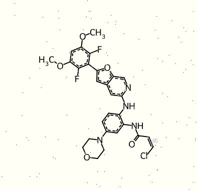 COc1cc(OC)c(F)c(-c2cc3cc(Nc4ccc(N5CCOCC5)cc4NC(=O)/C=C\Cl)ncc3o2)c1F